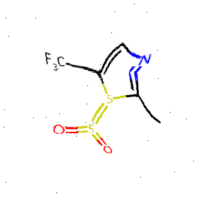 CC1=NC=C(C(F)(F)F)S1=S(=O)=O